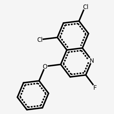 Fc1cc(Oc2ccccc2)c2c(Cl)cc(Cl)cc2n1